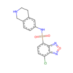 O=S(=O)(Nc1ccc2c(c1)CCNC2)c1ccc(Cl)c2nonc12